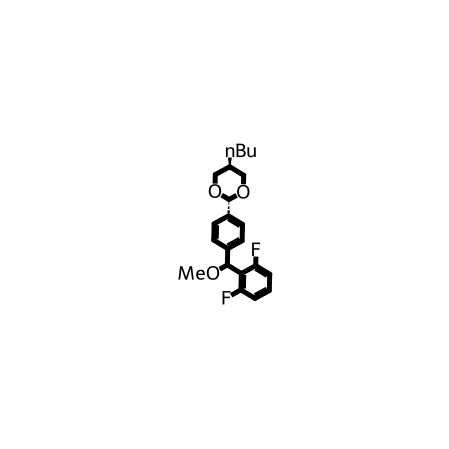 CCCC[C@H]1CO[C@H](c2ccc(C(OC)c3c(F)cccc3F)cc2)OC1